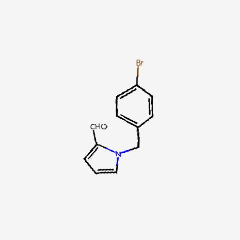 O=Cc1cccn1Cc1ccc(Br)cc1